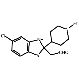 CCN1CCC(C2(CC=O)Nc3cc(Cl)ccc3S2)CC1